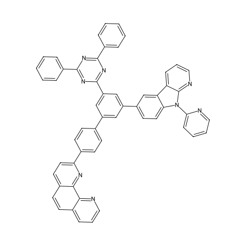 c1ccc(-c2nc(-c3ccccc3)nc(-c3cc(-c4ccc(-c5ccc6ccc7cccnc7c6n5)cc4)cc(-c4ccc5c(c4)c4cccnc4n5-c4ccccn4)c3)n2)cc1